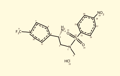 CN(C[C@@H](N)c1ccc(C(F)(F)F)cc1)S(=O)(=O)c1ccc([N+](=O)[O-])cc1.Cl